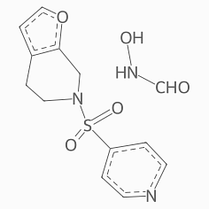 O=CNO.O=S(=O)(c1ccncc1)N1CCc2ccoc2C1